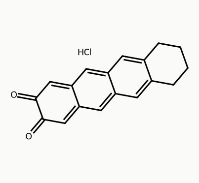 Cl.O=C1C=c2cc3cc4c(cc3cc2=CC1=O)CCCC4